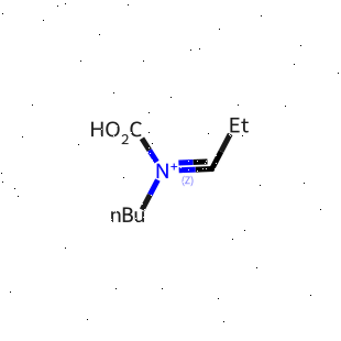 CC/C=[N+](/CCCC)C(=O)O